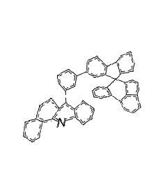 c1cc(-c2ccc3c(c2)C2(c4ccccc4-3)c3ccccc3-c3cccc4cccc2c34)cc(-c2c3ccccc3nc3c2ccc2ccccc23)c1